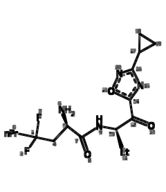 CCCC(F)(F)C[C@@H](N)C(=O)N[C@H](CC)C(=O)c1nc(C2CC2)no1